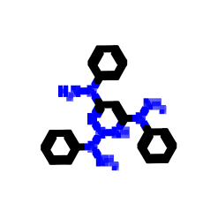 NN(C1=CC(N(N)c2ccccc2)=NN(N(N)c2ccccc2)N1)c1ccccc1